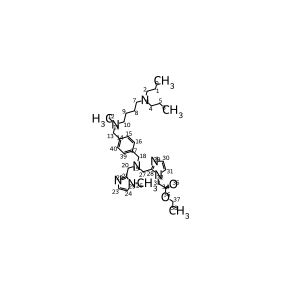 CCCN(CCC)CCCCN(C)Cc1ccc(CN(Cc2nccn2C)Cc2nccn2CC(=O)OCC)cc1